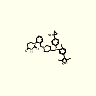 Cc1ccc(-c2c(C)noc2C)cc1N(CC1CCN(Cc2ccccc2N2CCC(=O)NC2=O)CC1)c1ccc(C2(C#N)CC2)cc1